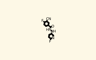 N#Cc1cc(C(=O)NNc2ccc(F)nc2)ccc1F